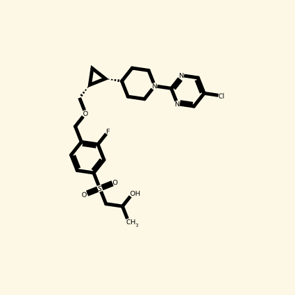 CC(O)CS(=O)(=O)c1ccc(COC[C@@H]2C[C@@H]2C2CCN(c3ncc(Cl)cn3)CC2)c(F)c1